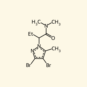 CCC(C(=O)N(C)C)n1nc(Br)c(Br)c1C